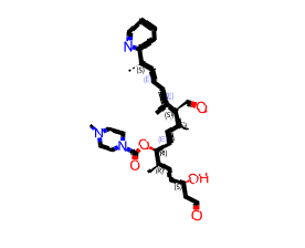 C/C(=C\C=C\[C@H](C)c1ccccn1)[C@@H](C=O)[C@@H](C)/C=C/[C@H](OC(=O)N1CCN(C)CC1)[C@H](C)CC[C@H](O)CC=O